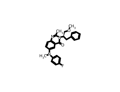 COC[C@@H](Cc1ccccc1)n1c(C)nc2ccc(N(C)c3ccc(F)cc3)cc2c1=O